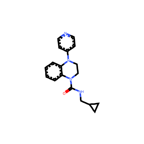 O=C(NCC1CC1)N1CCN(c2ccncc2)c2ccccc21